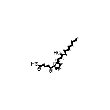 CCCCCCCCC(O)/C=C/c1cccc(C(O)CCCC(=O)O)n1